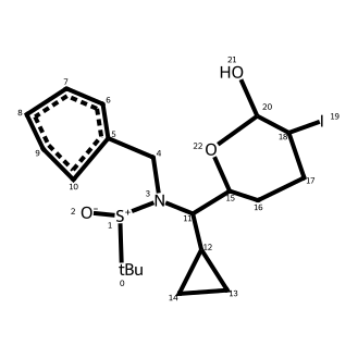 CC(C)(C)[S+]([O-])N(Cc1ccccc1)C(C1CC1)C1CCC(I)C(O)O1